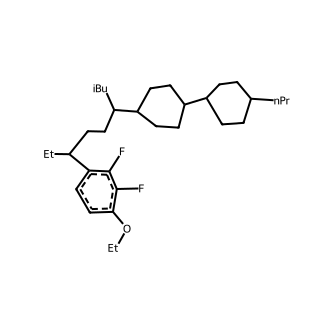 CCCC1CCC(C2CCC(C(CCC(CC)c3ccc(OCC)c(F)c3F)C(C)CC)CC2)CC1